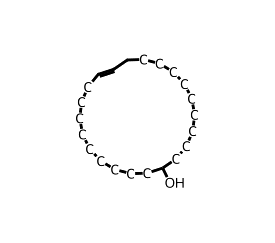 OC1CCCCCCCCC/C=C/CCCCCCCCCC1